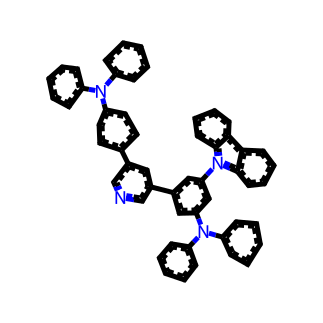 c1ccc(N(c2ccccc2)c2ccc(-c3cncc(-c4cc(N(c5ccccc5)c5ccccc5)cc(-n5c6ccccc6c6ccccc65)c4)c3)cc2)cc1